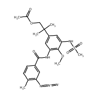 COc1c(NC(=O)c2ccc(C)c(N=[N+]=[N-])c2)cc(C(C)(C)COC(C)=O)cc1NS(C)(=O)=O